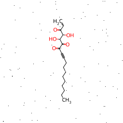 C=CC(=O)C(O)C(O)C(=O)C(=O)C#CCCCCCCCCC